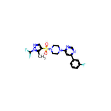 Cc1c(S(=O)(=O)N2CCN(c3cc(-c4cccc(F)c4)ncn3)CC2)cnn1C(F)F